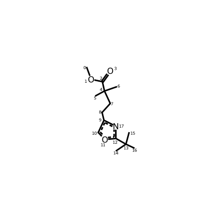 COC(=O)C(C)(C)CCc1coc(C(C)(C)C)n1